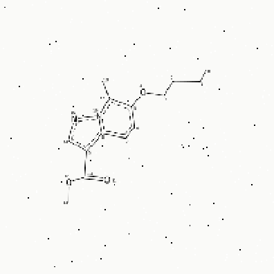 CCCCOc1ccc2c(C(=O)OC)cnn2c1C